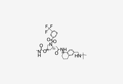 CNC(=O)O[C@@H]1C[C@@H](CC(=O)N[C@@H]2CCCc3cc(CNC(C)(C)C)ccc32)N(S(=O)(=O)c2cccc(C(F)(F)F)c2)C1